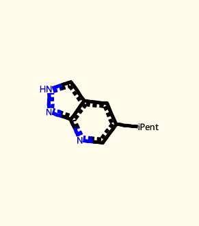 CCCC(C)c1cnc2n[nH]cc2c1